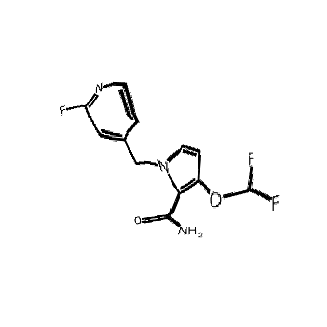 NC(=O)c1c(OC(F)F)ccn1Cc1ccnc(F)c1